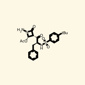 CC(=O)O[C@H]1[C@@H](C(=O)[C@H](Cc2ccccc2)NS(=O)(=O)c2ccc(C(C)(C)C)cc2)C(=O)N1N